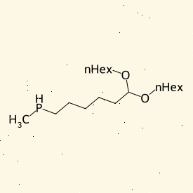 CCCCCCOC(CCCCCPC)OCCCCCC